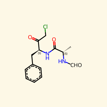 C[C@H](NC=O)C(=O)N[C@@H](Cc1ccccc1)C(=O)CCl